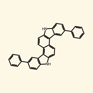 c1ccc(-c2ccc3[nH]c4ccc5c(ccc6[nH]c7ccc(-c8ccccc8)cc7c65)c4c3c2)cc1